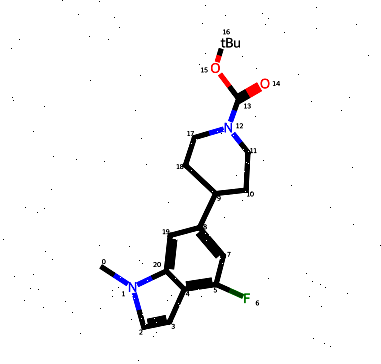 Cn1ccc2c(F)cc(C3CCN(C(=O)OC(C)(C)C)CC3)cc21